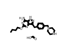 CCCCOc1nc(N)c2[nH]nc(Cc3ccc(CN4CCNCC4)cc3)c2n1.O=CO